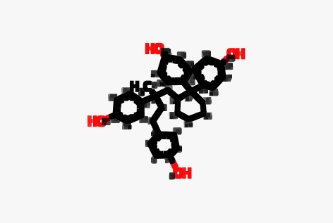 CC(CCc1ccc(O)cc1)(CC1CCCCC1(c1ccc(O)cc1)c1ccc(O)cc1)c1ccc(O)cc1